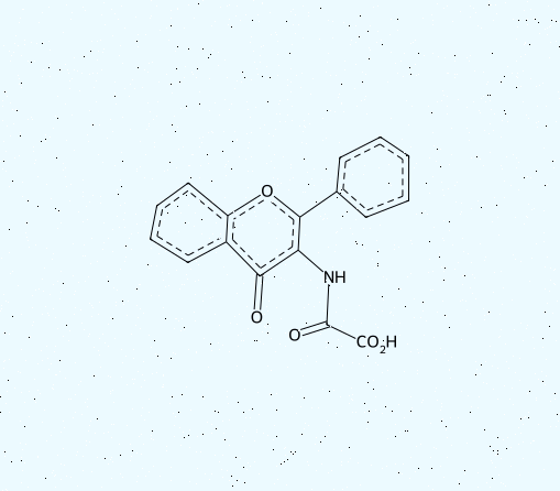 O=C(O)C(=O)Nc1c(-c2ccccc2)oc2ccccc2c1=O